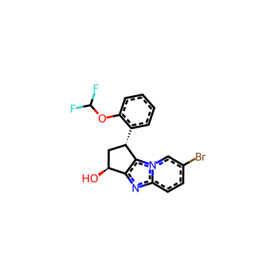 O[C@H]1C[C@H](c2ccccc2OC(F)F)c2c1nc1ccc(Br)cn21